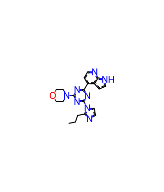 CCCc1nccn1-c1nc(-c2ccnc3[nH]ccc23)nc(N2CCOCC2)n1